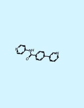 O=C(Nc1ccncc1)c1ccc(-c2cccnc2)cc1